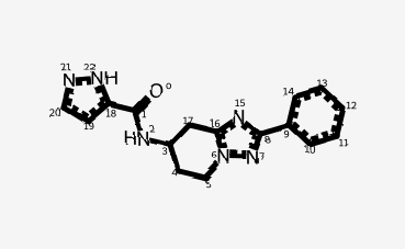 O=C(NC1CCn2nc(-c3ccccc3)nc2C1)c1ccn[nH]1